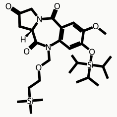 COc1cc2c(cc1O[Si](C(C)C)(C(C)C)C(C)C)N(COCC[Si](C)(C)C)C(=O)[C@@H]1CC(=O)CN1C2=O